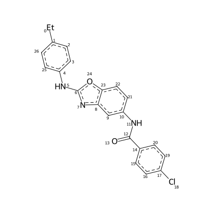 CCc1ccc(Nc2nc3cc(NC(=O)c4ccc(Cl)cc4)ccc3o2)cc1